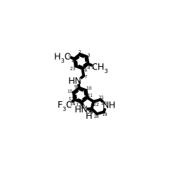 Cc1ccc(C)c(CNc2cc3c(c(C(F)(F)F)c2)N[C@H]2CCNCC32)c1